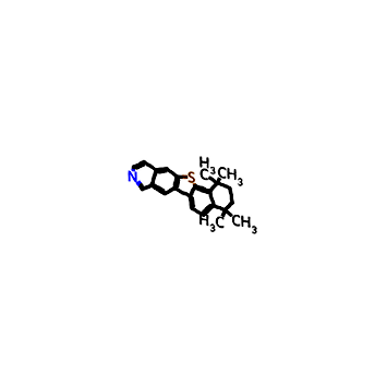 CC1(C)CCC(C)(C)c2c1ccc1c2sc2cc3ccncc3cc21